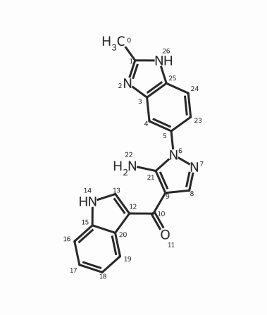 Cc1nc2cc(-n3ncc(C(=O)c4c[nH]c5ccccc45)c3N)ccc2[nH]1